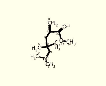 C=C(CC(C)(C)CN(C)C)C(=O)OC